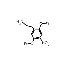 CCOc1cc([N+](=O)[O-])c(OCC)cc1CCN